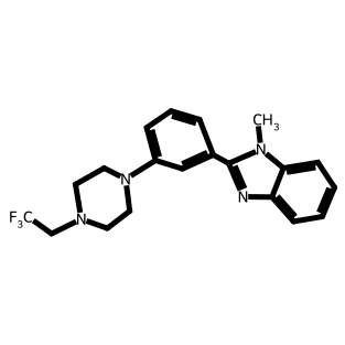 Cn1c(-c2cccc(N3CCN(CC(F)(F)F)CC3)c2)nc2ccccc21